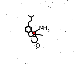 CO[C@H]1CC[C@]2(CC1)Cc1ccc(CCC(C)C)cc1C21N=C(N)N(C)O1